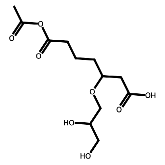 CC(=O)OC(=O)CCCC(CC(=O)O)OCC(O)CO